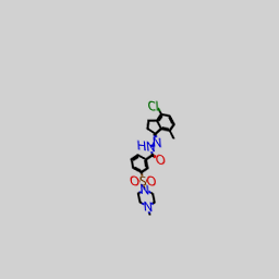 Cc1ccc(Cl)c2c1/C(=N/NC(=O)c1cccc(S(=O)(=O)N3CCN(C)CC3)c1)CC2